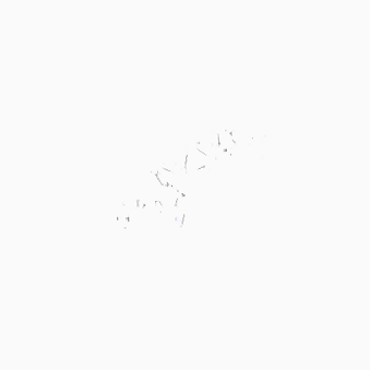 C/C=C/c1cc(NCC(C)(C)O)c2ncc(-c3ccc(-c4cnc(C5CC5)[nH]4)cc3)n2n1